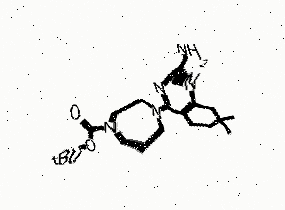 CC1(C)CCc2c(nc(N)nc2N2CCCN(C(=O)OC(C)(C)C)CC2)C1